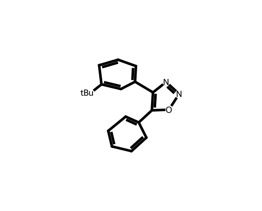 CC(C)(C)c1cccc(-c2nnoc2-c2ccccc2)c1